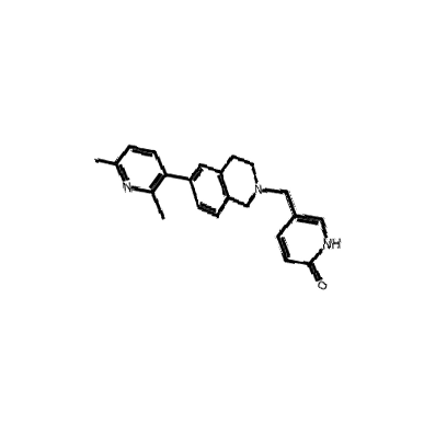 Cc1ccc(-c2ccc3c(c2)CCN(Cc2ccc(=O)[nH]c2)C3)c(C)n1